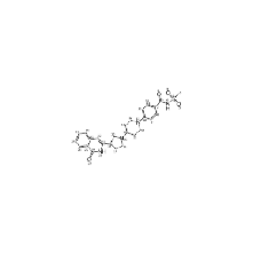 CS(=O)(=O)NC(=O)c1ccc(N2CCC(N3CCC(c4cc5ccccc5c(=O)[nH]4)C3)CC2)cn1